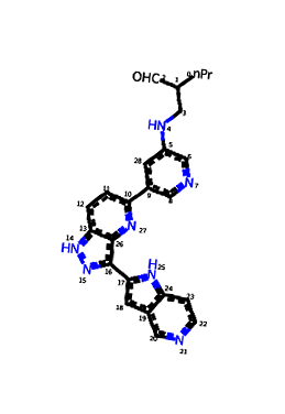 CCCC(C=O)CNc1cncc(-c2ccc3[nH]nc(-c4cc5cnccc5[nH]4)c3n2)c1